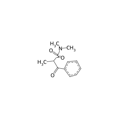 CC(C(=O)c1ccccc1)S(=O)(=O)N(C)C